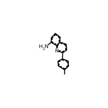 Cc1ccc(-c2ccc3cccc(N)c3n2)cc1